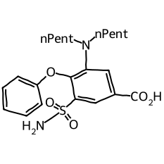 CCCCCN(CCCCC)c1cc(C(=O)O)cc(S(N)(=O)=O)c1Oc1ccccc1